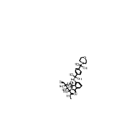 CNC(=O)C(O)(N1C(=O)c2cccc(NC(O)(O)c3ccc(C(O)(O)N4CCOCC4)cc3)c2C1(O)O)C(O)(O)C(O)(O)C=O